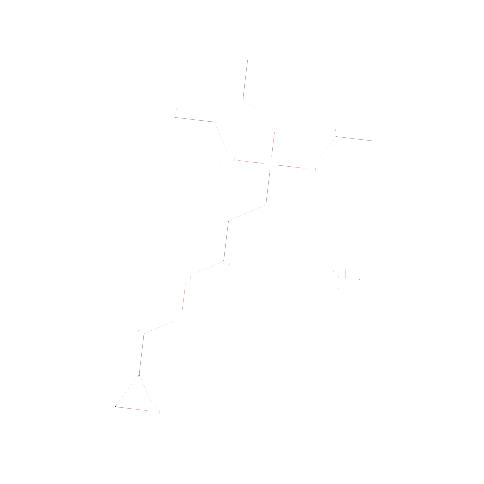 CCO[Si](CCCOOCC1CO1)(OCC)OCC.[SiH4]